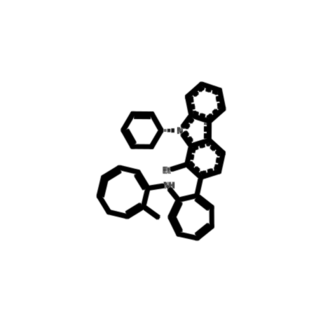 CCc1c(C2=CC=CC=C=C2NC2=C/C=C=CC/C=C\2C)ccc2c3ccccc3n([C@H]3C=CC=CC3)c12